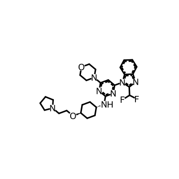 FC(F)c1nc2ccccc2n1-c1cc(N2CCOCC2)nc(N[C@H]2CC[C@H](OCCN3CCCC3)CC2)n1